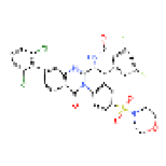 O=CNC(Cc1cc(F)cc(F)c1)c1nc2cc(-c3c(Cl)cccc3Cl)ccc2c(=O)n1-c1ccc(S(=O)(=O)N2CCOCC2)cc1